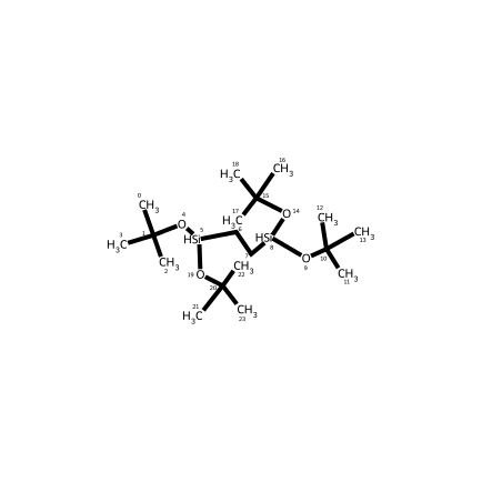 CC(C)(C)O[SiH](CC[SiH](OC(C)(C)C)OC(C)(C)C)OC(C)(C)C